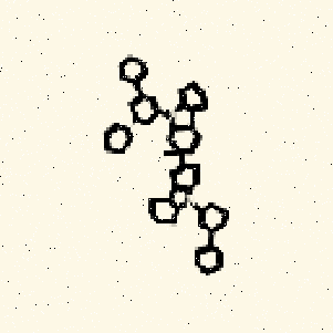 CC1(c2ccc3c(c2)C2C=CCCC2N3C2=CC(C3=CCCC=C3)CCC2)C=CC2c3ccccc3N(C3=CC(C4=CCCCC4)=CC([C@H]4C=CCCC4)C3)C2C1